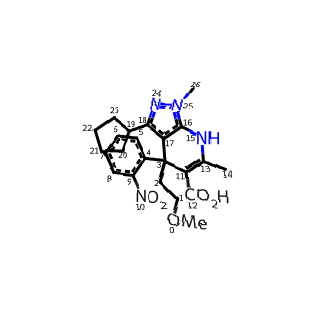 COCCC1(c2ccccc2[N+](=O)[O-])C(C(=O)O)=C(C)Nc2c1c(C1CCCC1)nn2C